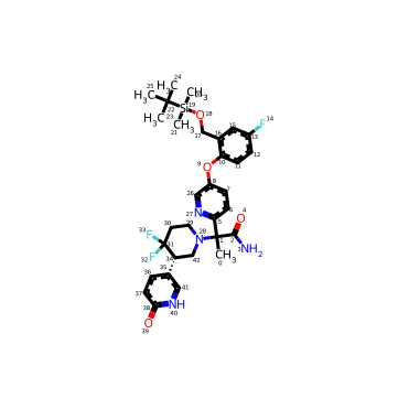 CC(C(N)=O)(c1ccc(Oc2ccc(F)cc2CO[Si](C)(C)C(C)(C)C)cn1)N1CCC(F)(F)[C@@H](c2ccc(=O)[nH]c2)C1